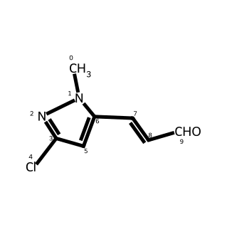 Cn1nc(Cl)cc1C=CC=O